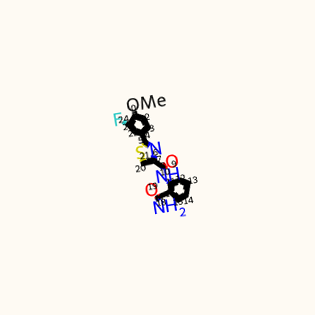 COc1ccc(-c2nc(C(=O)Nc3ccccc3C(N)=O)cs2)cc1F